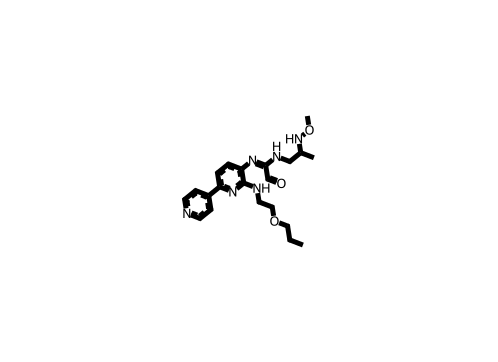 CCCOCCNc1nc(-c2ccncc2)ccc1/N=C(\C=O)NCC(C)NOC